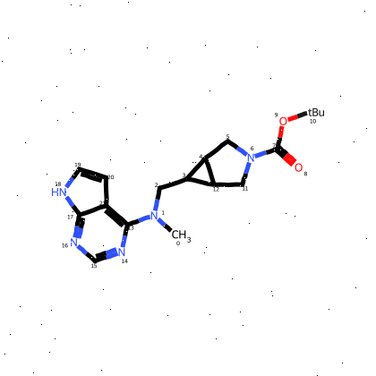 CN(CC1C2CN(C(=O)OC(C)(C)C)CC21)c1ncnc2[nH]ccc12